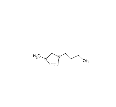 CN1C=CN(CCCO)C1